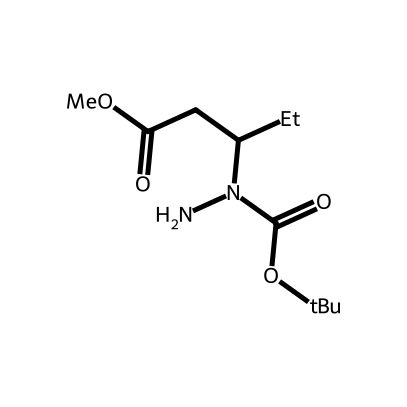 CCC(CC(=O)OC)N(N)C(=O)OC(C)(C)C